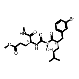 CNC(=O)[C@H](CCC(=O)OC)NC(=O)N(O)C(=O)[C@H](CCC(C)C)Cc1cccc(Br)c1